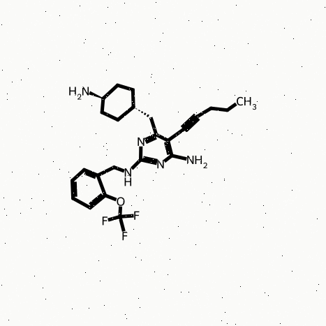 CCCC#Cc1c(N)nc(NCc2ccccc2OC(F)(F)F)nc1C[C@H]1CC[C@H](N)CC1